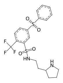 O=S(=O)(NCCC1CCCN1)c1cc(S(=O)(=O)c2ccccc2)ccc1C(F)(F)F